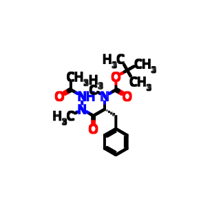 CC(=O)NN(C)C(=O)[C@@H](Cc1ccccc1)N(C)C(=O)OC(C)(C)C